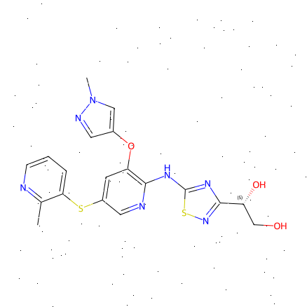 Cc1ncccc1Sc1cnc(Nc2nc([C@H](O)CO)ns2)c(Oc2cnn(C)c2)c1